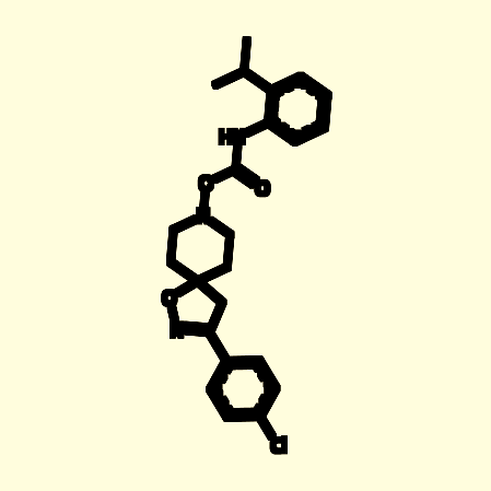 CC(C)c1ccccc1NC(=O)ON1CCC2(CC1)CC(c1ccc(Cl)cc1)=NO2